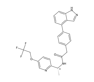 C[C@@H](NC(=O)Cc1ccc(-c2cccc3[nH]ncc23)cc1)c1ccc(OCC(F)(F)F)cn1